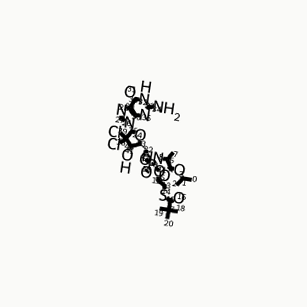 CC(C)OC(=O)C(C)NP(=O)(OCCSC(=O)C(C)(C)C)OC[C@H]1O[C@@H](n2cnc3c(=O)[nH]c(N)nc32)C(Cl)(Cl)[C@@H]1O